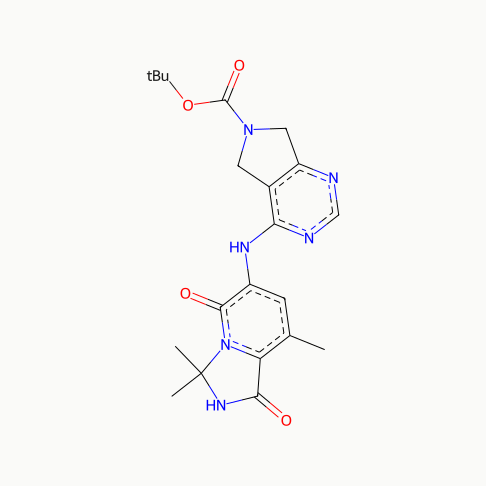 Cc1cc(Nc2ncnc3c2CN(C(=O)OC(C)(C)C)C3)c(=O)n2c1C(=O)NC2(C)C